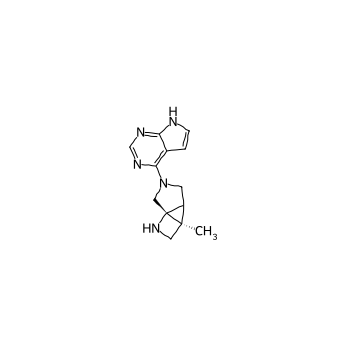 C[C@]12CN[C@@]13CN(c1ncnc4[nH]ccc14)CC23